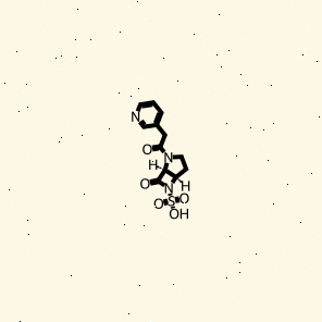 O=C(Cc1cccnc1)N1CC[C@@H]2[C@H]1C(=O)N2S(=O)(=O)O